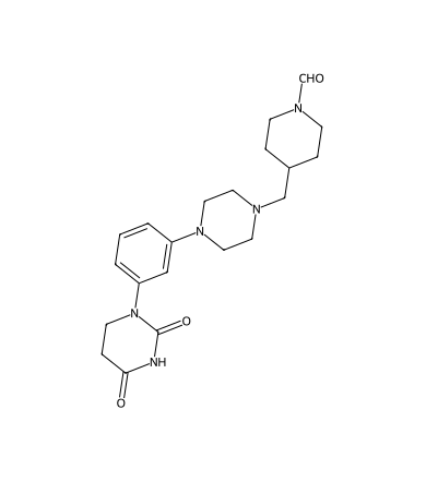 O=CN1CCC(CN2CCN(c3cccc(N4CCC(=O)NC4=O)c3)CC2)CC1